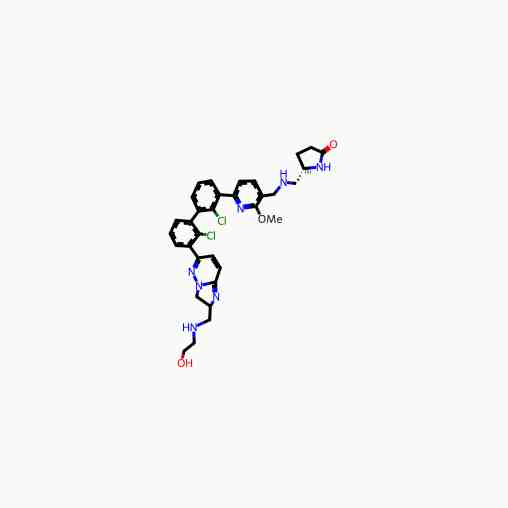 COc1nc(-c2cccc(-c3cccc(C4=NN5CC(CNCCO)N=C5C=C4)c3Cl)c2Cl)ccc1CNC[C@@H]1CCC(=O)N1